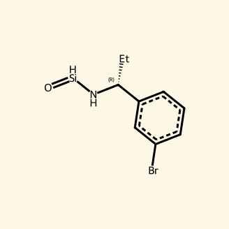 CC[C@@H](N[SiH]=O)c1cccc(Br)c1